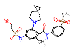 Cc1cc(NS(=O)(=O)CCO)cc(N2CCC3(CC2)CC3)c1C(=O)Nc1cccc(S(C)(=O)=O)c1